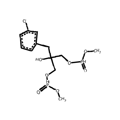 CO[PH](=O)OCC(O)(CO[PH](=O)OC)Cc1cccc(Cl)c1